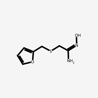 N/C(CSCc1ccco1)=N/O